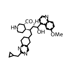 COc1ccc2nccc(C(O)CC(CC3CCc4nc(CC5CC5)ncc4C3)[C@H]3CCNC[C@@H]3C(=O)O)c2c1